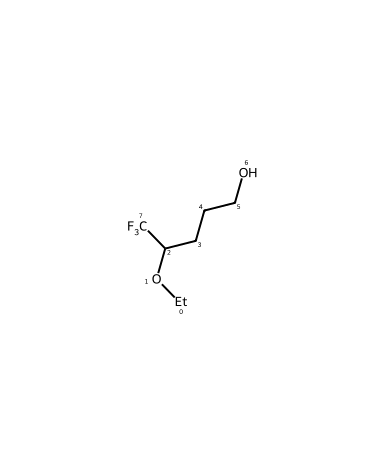 CCOC(CCCO)C(F)(F)F